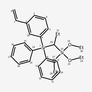 C=Cc1cccc([Si](c2ccccc2)(c2ccccc2)C(CC)[Si](OCC)(OCC)OCC)c1